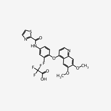 COc1cc2nccc(Oc3ccc(NC(=O)c4nccs4)cc3F)c2cc1OC.O=C(O)C(F)(F)F